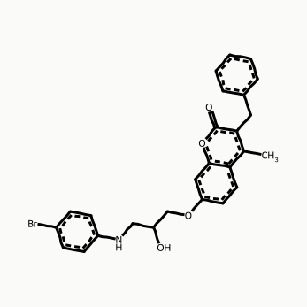 Cc1c(Cc2ccccc2)c(=O)oc2cc(OCC(O)CNc3ccc(Br)cc3)ccc12